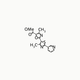 COC(=O)c1oc(-c2sc(-c3cccnc3)nc2C)nc1C